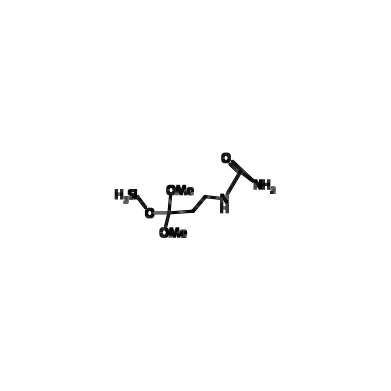 COC(CCNC(N)=O)(OC)O[SiH3]